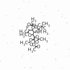 CC(=O)OC[C@@H](OC(C)=O)[C@@H](OC(C)=O)C1OC(C)(C)C(F)C(OC(C)=O)C1NC(=O)OC(C)(C)C